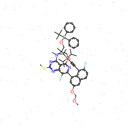 COCOc1cc(-c2nc3c4c(nc(SC)nc4c2F)N(C)C(C)(CO[Si](c2ccccc2)(c2ccccc2)C(C)(C)C)CO3)c2c(C#C[Si](C(C)C)(C(C)C)C(C)C)c(F)ccc2c1